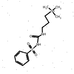 [CH3][Sn]([CH3])([CH3])[CH2]CCNC(=O)NS(=O)(=O)c1ccccc1